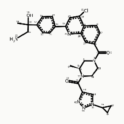 C[C@H]1CN(C(=O)c2ccc3c(Cl)cc(-c4ccc(C(C)(O)CN)cc4)nc3c2)CCN1C(=O)c1cn(C2CC2)nn1